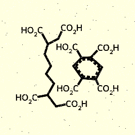 O=C(O)CC(CCCCC(CC(=O)O)C(=O)O)C(=O)O.O=C(O)c1cc(C(=O)O)c(C(=O)O)cc1C(=O)O